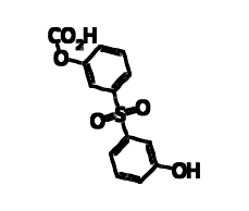 O=C(O)Oc1cccc(S(=O)(=O)c2cccc(O)c2)c1